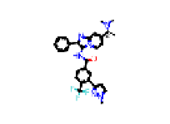 C[C@@H](c1ccn2c(NC(=O)c3ccc(C(F)(F)F)c(-c4ccn(C)n4)c3)c(-c3ccccc3)nc2c1)N(C)C